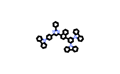 c1ccc(-c2nc(-c3ccc(-n4c5ccccc5c5ccccc54)cc3)cc(-c3ccc(-c4cc(-n5c6ccccc6c6ccccc65)cc(-n5c6ccccc6c6ccccc65)c4)c4ccccc34)n2)cc1